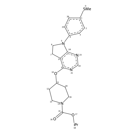 CSc1ccc(N2CCc3c(OC4CCN(C(=O)OC(C)C)CC4)ncnc32)cc1